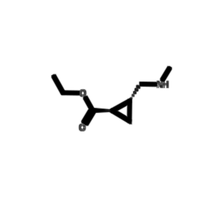 CCOC(=O)[C@@H]1C[C@H]1CNC